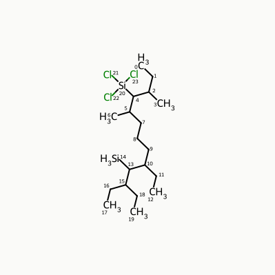 CCC(C)C(C(C)CCCC(CC)C([SiH3])C(CC)CC)[Si](Cl)(Cl)Cl